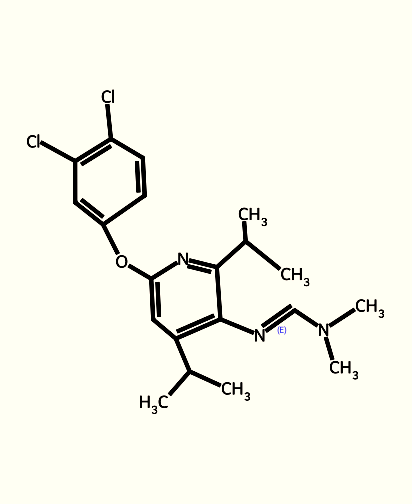 CC(C)c1cc(Oc2ccc(Cl)c(Cl)c2)nc(C(C)C)c1/N=C/N(C)C